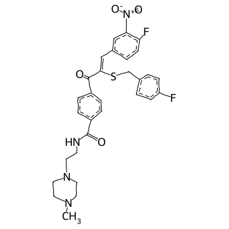 CN1CCN(CCNC(=O)c2ccc(C(=O)C(=Cc3ccc(F)c([N+](=O)[O-])c3)SCc3ccc(F)cc3)cc2)CC1